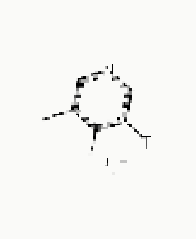 Cc1cncc(F)c1C(=O)O